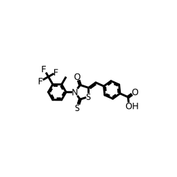 Cc1c(N2C(=O)C(=Cc3ccc(C(=O)O)cc3)SC2=S)cccc1C(F)(F)F